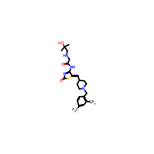 CC(C)(O)CNCC(=O)NC1=NC(=O)S/C1=C\C1CCN(Cc2ccc(C(F)(F)F)cc2C(F)(F)F)CC1